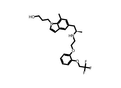 Cc1cc(C[C@@H](C)NCCOc2ccccc2OCC(F)(F)F)cc2ccn(CCCO)c12